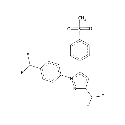 CS(=O)(=O)c1ccc(-c2cc(C(F)F)nn2-c2ccc(C(F)F)cc2)cc1